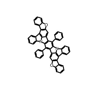 c1ccc(-c2c3c4cc5oc6ccccc6c5c5c6ccccc6n(c3c(-c3ccccc3)c3c6cc7oc8ccccc8c7c7c8ccccc8n(c23)c67)c45)cc1